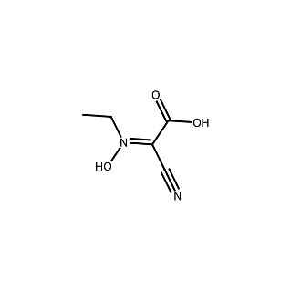 CC[N+](O)=C(C#N)C(=O)O